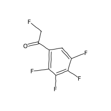 O=C(CF)c1cc(F)c(F)c(F)c1F